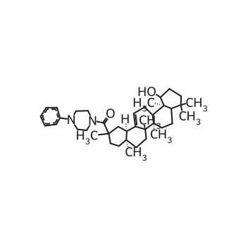 CC1(C(=O)N2CCN(c3ccccc3)CC2)CC[C@]2(C)CC[C@]3(C)C(=CCC4[C@@]5(C)C(O)CCC(C)(C)C5CC[C@]43C)[C@@H]2C1